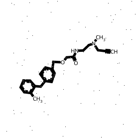 C#CCN(C)CCNC(=O)COCc1ccc(Cc2ccccc2C)cc1